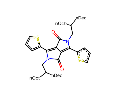 CCCCCCCCCCC(CCCCCCCC)CN1C(=O)C2=C(c3cccs3)N(CC(CCCCCCCC)CCCCCCCCCC)C(=O)C2=C1c1cccs1